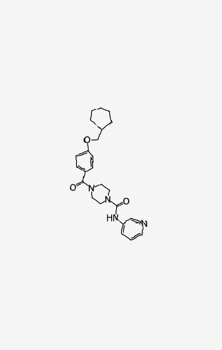 O=C(Nc1cccnc1)N1CCN(C(=O)c2ccc(OCC3CCCCC3)cc2)CC1